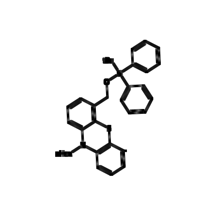 CCCCCCN1c2ccc[c]c2Sc2c(CO[Si](c3ccccc3)(c3ccccc3)C(C)(C)C)cccc21